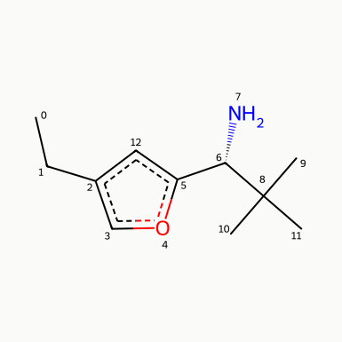 CCc1coc([C@H](N)C(C)(C)C)c1